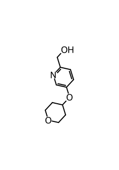 OCc1ccc(OC2CCOCC2)cn1